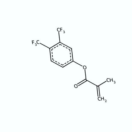 C=C(C)C(=O)Oc1ccc(C(F)(F)F)c(C(F)(F)F)c1